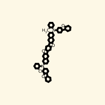 Cc1ccccc1N(c1ccc2cc3c(cc2c1)oc1cc2c(cc13)oc1cc3cc(N(c4ccc5c(c4)oc4ccccc45)c4ccccc4C)ccc3cc12)c1ccc2c(c1)oc1ccccc12